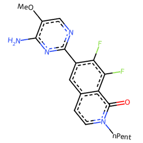 CCCCCn1ccc2cc(-c3ncc(OC)c(N)n3)c(F)c(F)c2c1=O